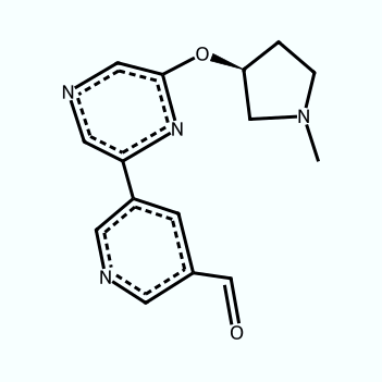 CN1CC[C@H](Oc2cncc(-c3cncc(C=O)c3)n2)C1